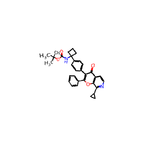 CC(C)(C)OC(=O)NC1(c2ccc(-c3c(-c4ccccc4)oc4c(C5CC5)nccc4c3=O)cc2)CCC1